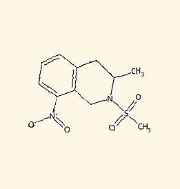 CC1Cc2cccc([N+](=O)[O-])c2CN1S(C)(=O)=O